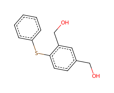 OCc1ccc(Sc2ccccc2)c(CO)c1